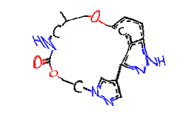 CC1CNC(=O)OCCn2cc(cn2)-c2n[nH]c3ccc(cc23)OC1